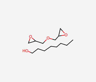 C(OCC1CO1)C1CO1.CCCCCCCCO